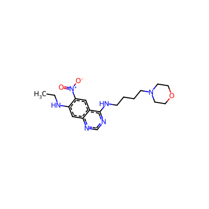 CCNc1cc2ncnc(NCCCCN3CCOCC3)c2cc1[N+](=O)[O-]